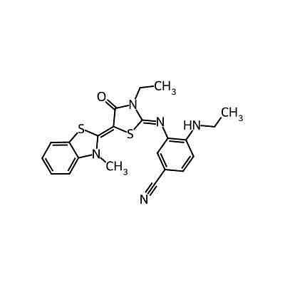 CCNc1ccc(C#N)cc1N=C1SC(=C2Sc3ccccc3N2C)C(=O)N1CC